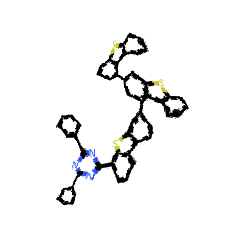 c1ccc(-c2nc(-c3ccccc3)nc(-c3cccc4c3sc3cc(-c5cc(-c6cccc7sc8ccccc8c67)cc6sc7ccccc7c56)ccc34)n2)cc1